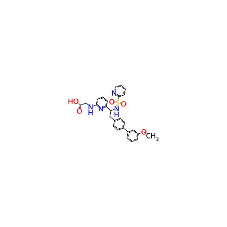 COc1cccc(-c2ccc(CC(NS(=O)(=O)c3ccccn3)c3cccc(NCC(=O)O)n3)cc2)c1